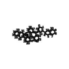 c1cc(-c2ccc3ccccc3c2)cc(-c2c3ccccc3c(-c3cccc4c3sc3cc5ccccc5cc34)c3ccccc23)c1